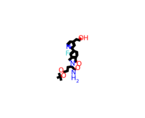 CC(C)(C)OC(=O)CCC(C(N)=O)N1Cc2c(ccc(-c3cc(CCO)ccn3)c2F)C1=O